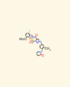 COc1ccc(F)c(CNC(=O)c2cn(Cc3ccc(Cn4ccccc4=O)c(C)c3)nc2C2COC2)c1P